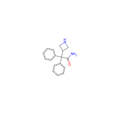 NC(=O)C(c1ccccc1)(c1ccccc1)C1CNC1